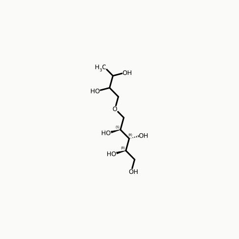 CC(O)C(O)COC[C@H](O)[C@H](O)[C@H](O)CO